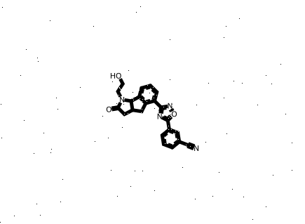 N#Cc1cccc(-c2nc(-c3cccc4c3CC3CC(=O)N(CCO)C43)no2)c1